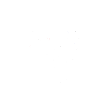 CCCCCCC(=O)O.CCCCCCCCn1ccnc1.O=C(O)C(=O)O